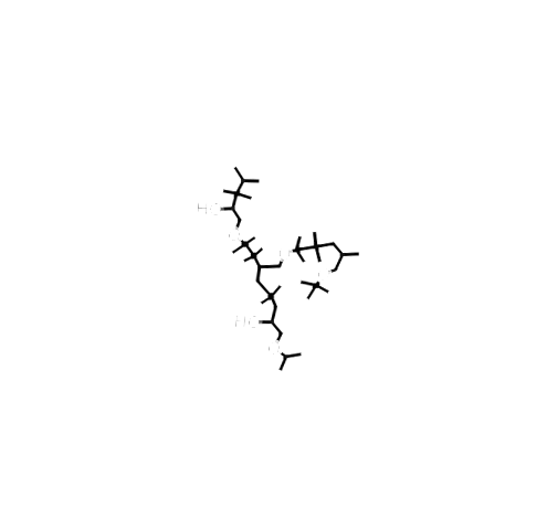 CC(COC(C)(C)C)CC(C)(C)C(C)(C)OCC(CC(C)(C)CC(O)COC(C)C)C(C)(C)C(C)(C)OCC(O)C(C)(C)C(C)C